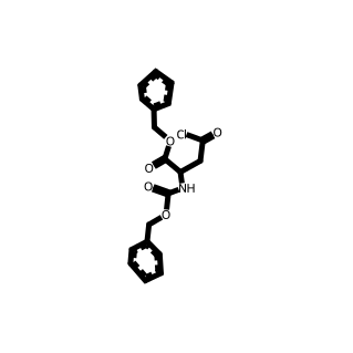 O=C(Cl)CC(NC(=O)OCc1ccccc1)C(=O)OCc1ccccc1